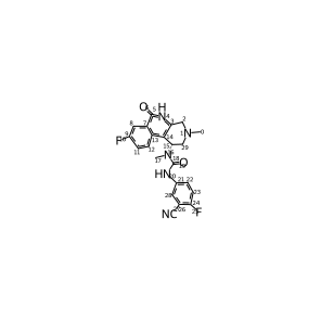 CN1Cc2[nH]c(=O)c3cc(F)ccc3c2[C@@H](N(C)C(=O)Nc2ccc(F)c(C#N)c2)C1